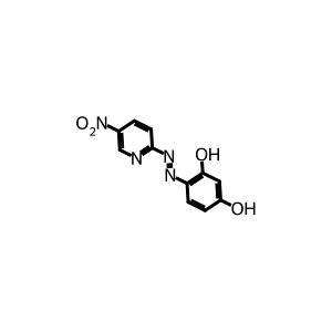 O=[N+]([O-])c1ccc(N=Nc2ccc(O)cc2O)nc1